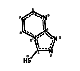 Sc1nnc2ncccn12